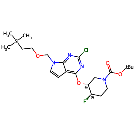 CC(C)(C)OC(=O)N1CC[C@@H](F)[C@H](Oc2nc(Cl)nc3c2ccn3COCC[Si](C)(C)C)C1